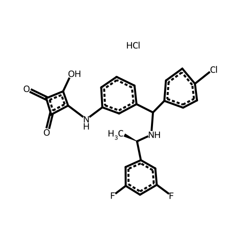 C[C@@H](NC(c1ccc(Cl)cc1)c1cccc(Nc2c(O)c(=O)c2=O)c1)c1cc(F)cc(F)c1.Cl